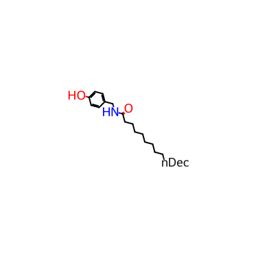 CCCCCCCCCCCCCCCCCCC(=O)NCc1ccc(O)cc1